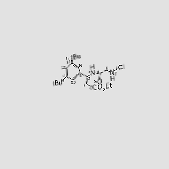 CCOC(=O)C[C@H](NC(=O)CNCl)c1cc(C(C)(C)C)cc(C(C)(C)C)c1